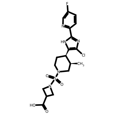 C[C@H]1CN(S(=O)(=O)N2CC(C(=O)O)C2)CC[C@H]1c1[nH]c(-c2ccc(F)cn2)nc1Cl